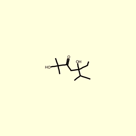 CCC(O)(CC(=O)C(C)(C)O)C(C)C